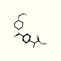 COC(=O)C(C)c1ccc(C(=O)[C@H]2CC[C@H](CN)CC2)cc1